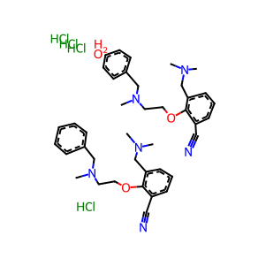 CN(C)Cc1cccc(C#N)c1OCCN(C)Cc1ccccc1.CN(C)Cc1cccc(C#N)c1OCCN(C)Cc1ccccc1.Cl.Cl.Cl.Cl.O